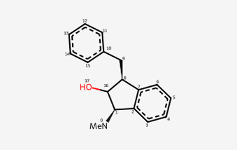 CN[C@@H]1c2ccccc2[C@H](Cc2ccccc2)C1O